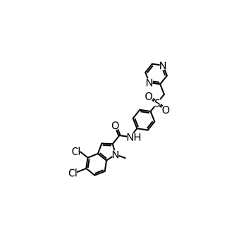 Cn1c(C(=O)Nc2ccc(S(=O)(=O)Cc3cnccn3)cc2)cc2c(Cl)c(Cl)ccc21